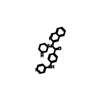 O=C(c1ccc(Nc2ccncc2)cc1)N(c1cc2ccccc2cn1)[C@@H]1CCCNC1